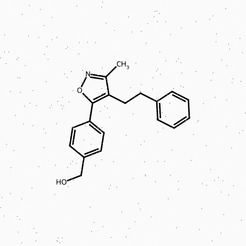 Cc1noc(-c2ccc(CO)cc2)c1C[CH]c1ccccc1